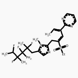 C/C=C(\C=C(/Cc1ncc(CC(C)(F)C(F)(P)C(C)(F)C(C)F)n1C)S(=O)(=O)CC)c1ncccn1